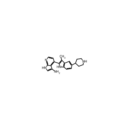 Cc1c(-c2ccnc3[nH]cc(N)c23)[nH]c2ccc(C3CCNCC3)cc12